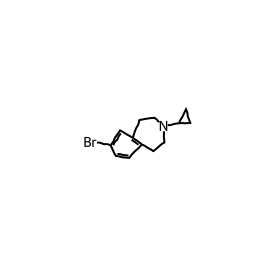 Brc1ccc2c(c1)CCN(C1CC1)CC2